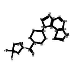 O=C([C@@H]1CC(F)(F)CN1)N1CCC(n2cnc3cnc4[nH]ccc4c32)CC1